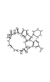 COc1ccc2c(c1)C1CC13Cn1c-2c(C2CCCCC2)c2ccc(cc21)C(=O)NS(=O)(=O)N(C)C/C=C/CCNC3=O